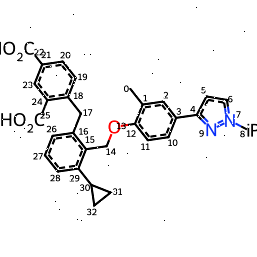 Cc1cc(-c2ccn(C(C)C)n2)ccc1OCc1c(Cc2ccc(C(=O)O)cc2C(=O)O)cccc1C1CC1